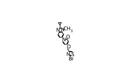 Cn1c(C2CC2)nc2ccc(-n3ccc(OCc4csc(Br)n4)cc3=O)cc21